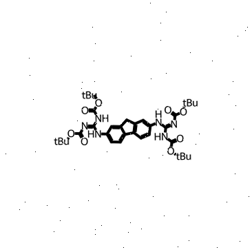 CC(C)(C)OC(=O)/N=C(/NC(=O)OC(C)(C)C)Nc1ccc2c(c1)Cc1cc(N/C(=N\C(=O)OC(C)(C)C)NC(=O)OC(C)(C)C)ccc1-2